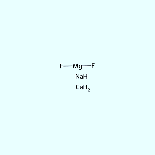 [CaH2].[F][Mg][F].[NaH]